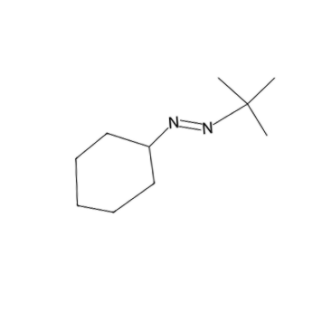 CC(C)(C)N=NC1CCCCC1